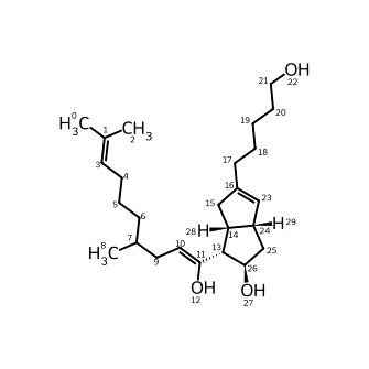 CC(C)=CCCCC(C)CC=C(O)[C@@H]1[C@@H]2CC(CCCCCO)=C[C@@H]2C[C@H]1O